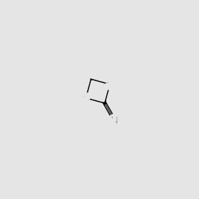 [N]=C1SCS1